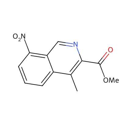 COC(=O)c1ncc2c([N+](=O)[O-])cccc2c1C